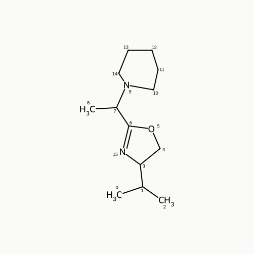 CC(C)C1COC(C(C)N2CCCCC2)=N1